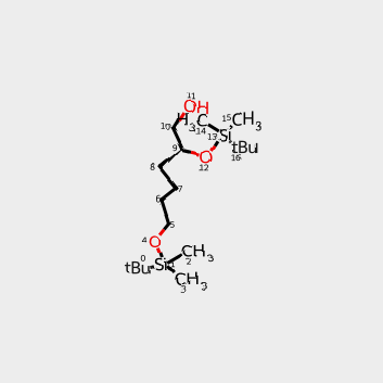 CC(C)(C)[Si](C)(C)OCCCC[C@@H](CO)O[Si](C)(C)C(C)(C)C